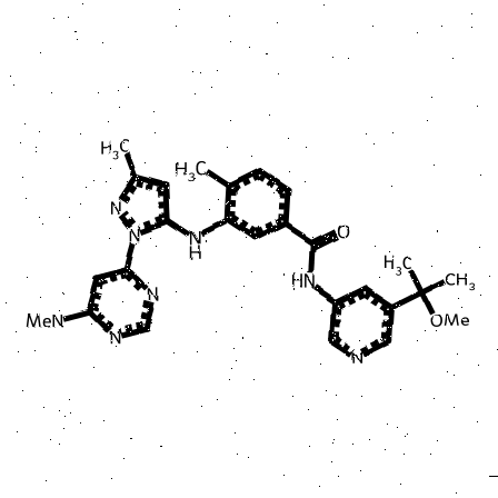 CNc1cc(-n2nc(C)cc2Nc2cc(C(=O)Nc3cncc(C(C)(C)OC)c3)ccc2C)ncn1